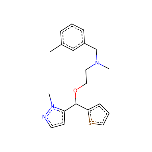 Cc1cccc(CN(C)CCOC(c2cccs2)c2ccnn2C)c1